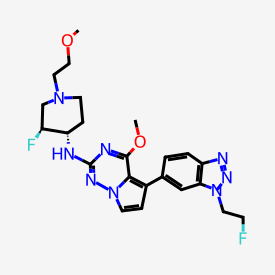 COCCN1CC[C@H](Nc2nc(OC)c3c(-c4ccc5nnn(CCF)c5c4)ccn3n2)[C@@H](F)C1